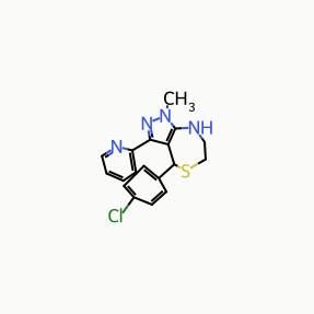 Cn1nc(-c2ccccn2)c2c1NCCSC2c1ccc(Cl)cc1